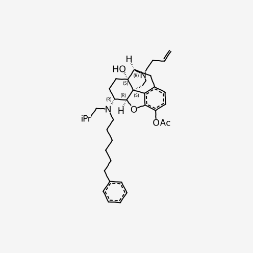 C=CCN1CC[C@]23c4c5ccc(OC(C)=O)c4O[C@H]2[C@H](N(CCCCCCc2ccccc2)CC(C)C)CC[C@@]3(O)[C@H]1C5